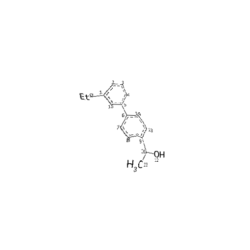 CCc1cccc(-c2ccc(C(C)O)cc2)c1